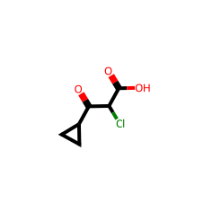 O=C(O)C(Cl)C(=O)C1CC1